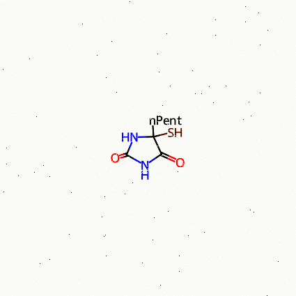 CCCCCC1(S)NC(=O)NC1=O